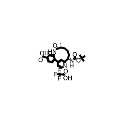 C[C@@H]1CCC[C@H](NC(=O)OC(C)(C)C)c2cc(ccn2)-c2ccc(C(=O)O)cc2NC1=O.O=C(O)C(F)(F)F